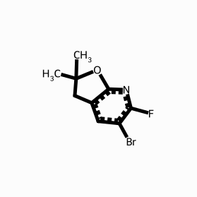 CC1(C)Cc2cc(Br)c(F)nc2O1